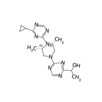 CC(O)c1ncnc(N2C[C@@H](C)N(c3ncnc(C4CC4)n3)[C@@H](C)C2)n1